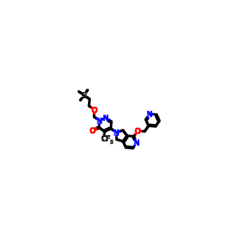 C[Si](C)(C)CCOCn1ncc(N2Cc3ccnc(OCc4cccnc4)c3C2)c(C(F)(F)F)c1=O